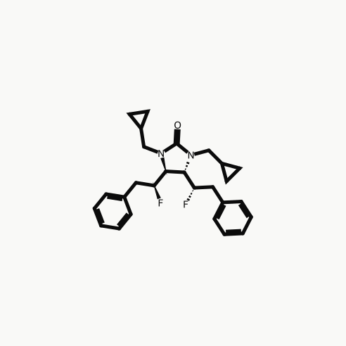 O=C1N(CC2CC2)[C@H]([C@@H](F)Cc2ccccc2)[C@@H]([C@@H](F)Cc2ccccc2)N1CC1CC1